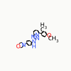 COc1ccc(-c2cccc3nc(Nc4ccc(N5CCOCC5)cc4)nn23)c(C)c1